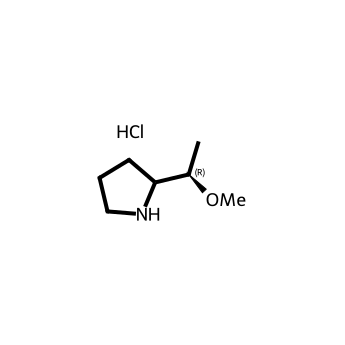 CO[C@H](C)C1CCCN1.Cl